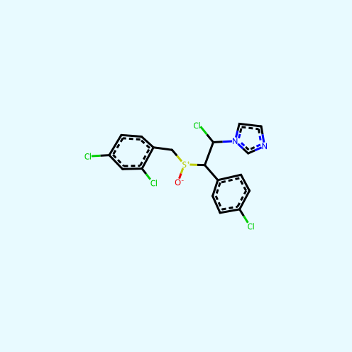 [O-][S+](Cc1ccc(Cl)cc1Cl)C(c1ccc(Cl)cc1)C(Cl)n1ccnc1